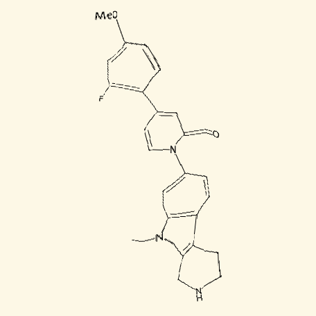 COc1ccc(-c2ccn(-c3ccc4c5c(n(C)c4c3)CNCC5)c(=O)c2)c(F)c1